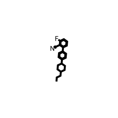 CCCC1CCC(c2ccc(-c3cccc(F)c3C#N)cc2)CC1